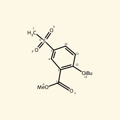 COC(=O)c1cc(S(C)(=O)=O)ccc1OCC(C)C